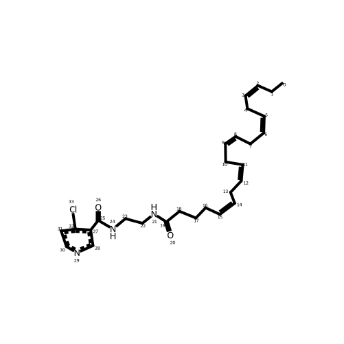 CC/C=C\C/C=C\C/C=C\C/C=C\C/C=C\CCCC(=O)NCCNC(=O)c1cnccc1Cl